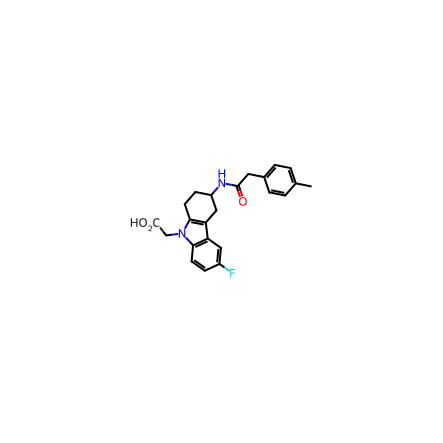 Cc1ccc(CC(=O)NC2CCc3c(c4cc(F)ccc4n3CC(=O)O)C2)cc1